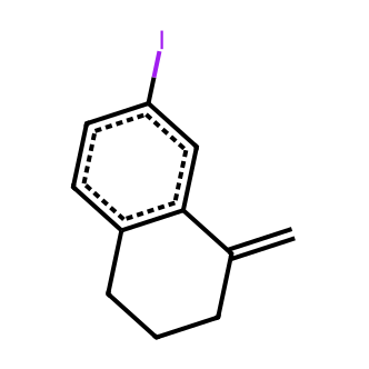 C=C1CCCc2ccc(I)cc21